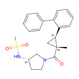 C[C@@]1(C(=O)N2CC[C@H](NS(C)(=O)=O)C2)C[C@H]1c1ccccc1-c1ccccc1